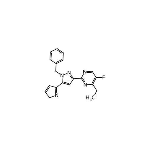 CCc1nc(-c2cc(C3=NCC=C3)n(Cc3ccccc3)n2)ncc1F